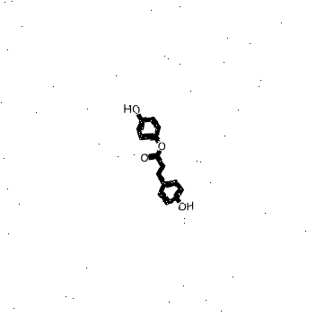 O=C(CCc1ccc(O)cc1)Oc1ccc(O)cc1